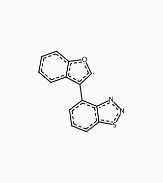 [c]1oc2ccccc2c1-c1cccc2snnc12